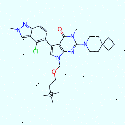 Cn1cc2c(Cl)c(-c3cn(COCC[Si](C)(C)C)c4nc(N5CCC6(CCC6)CC5)n(C)c(=O)c34)ccc2n1